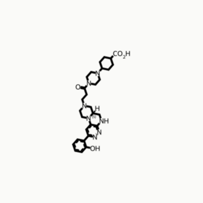 O=C(O)C1CCC(N2CCN(C(=O)CCN3CCN4c5cc(-c6ccccc6O)nnc5NC[C@H]4C3)CC2)CC1